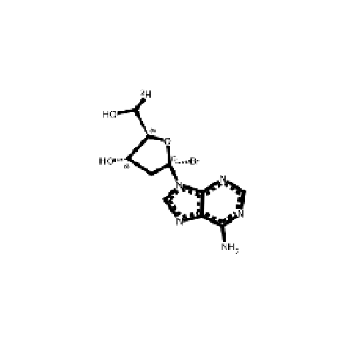 [2H]C(O)[C@H]1O[C@@](Br)(n2cnc3c(N)ncnc32)C[C@@H]1O